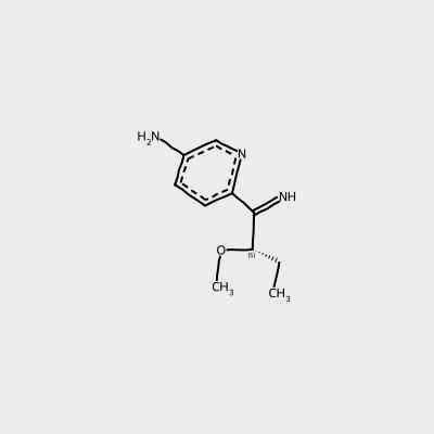 CC[C@H](OC)C(=N)c1ccc(N)cn1